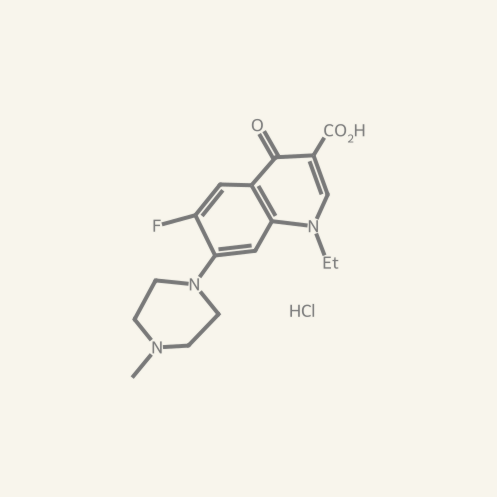 CCn1cc(C(=O)O)c(=O)c2cc(F)c(N3CCN(C)CC3)cc21.Cl